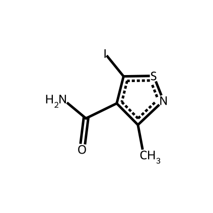 Cc1nsc(I)c1C(N)=O